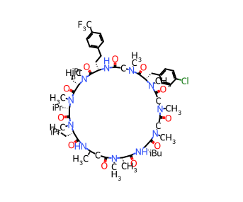 CCC(C)[C@@H]1NC(=O)[C@H](C)N(C)C(=O)C[C@@H](C)NC(=O)[C@H](CC(C)C)N(C)C(=O)[C@H](C(C)C)N(C)C(=O)[C@H](CC(C)C)N(C)C(=O)[C@H](CCc2ccc(C(F)(F)F)cc2)NC(=O)CN(C)C(=O)[C@H](Cc2ccc(Cl)cc2)N(C)C(=O)CN(C)C(=O)CN(C)C1=O